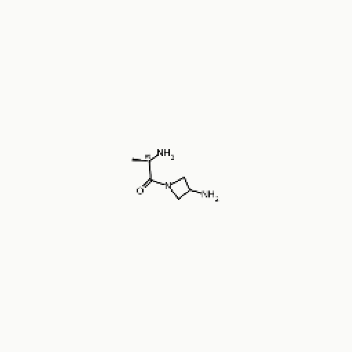 C[C@@H](N)C(=O)N1CC(N)C1